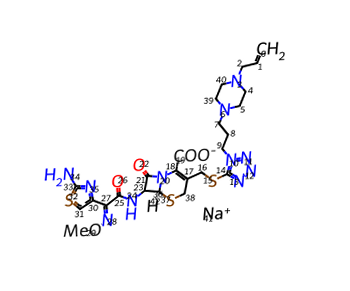 C=CCN1CCN(CCCn2nnnc2SCC2=C(C(=O)[O-])N3C(=O)C(NC(=O)C(=NOC)c4csc(N)n4)[C@@H]3SC2)CC1.[Na+]